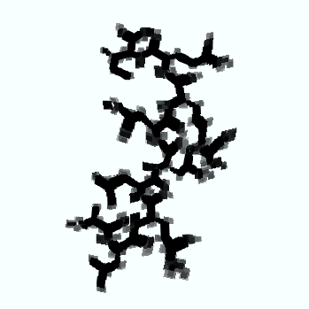 CC[C@H](C)[C@H](NC(=O)[C@H](CCC(N)=O)NC(=O)[C@H](CCCNC(=N)N)NC(=O)[C@H](CC(N)=O)NC(=O)[C@H](CC(N)=O)NC(=O)[C@H](CC(C)C)NC(=O)[C@H](CCC(N)=O)NC(=O)[C@H](CC(C)C)NC(=O)[C@H](C)N)C(=O)O